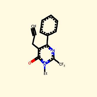 C#CCc1c(-c2ccccc2)nc(C(F)(F)F)n(CC)c1=O